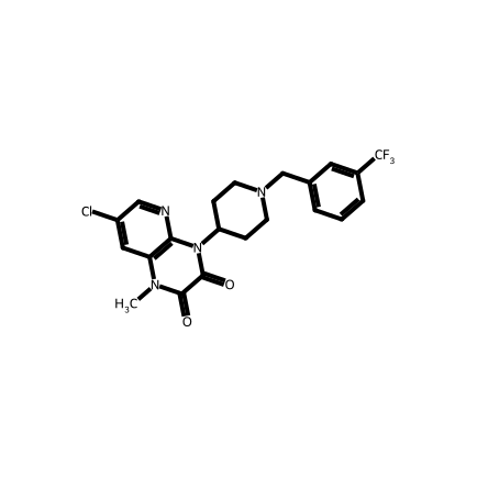 Cn1c(=O)c(=O)n(C2CCN(Cc3cccc(C(F)(F)F)c3)CC2)c2ncc(Cl)cc21